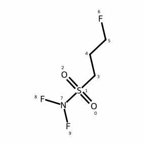 O=S(=O)(CCCF)N(F)F